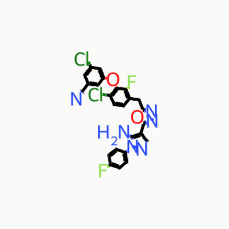 N#Cc1cc(Cl)cc(Oc2c(Cl)ccc(Cc3nnc(-c4cnn(-c5ccc(F)cc5)c4N)o3)c2F)c1